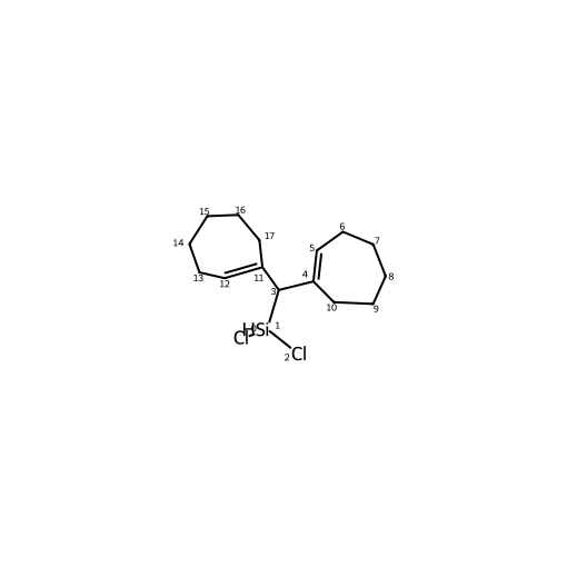 Cl[SiH](Cl)C(C1=CCCCCC1)C1=CCCCCC1